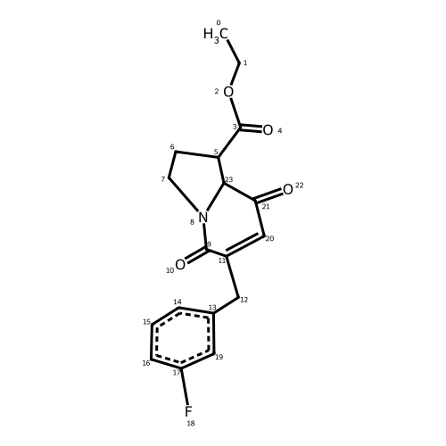 CCOC(=O)C1CCN2C(=O)C(Cc3cccc(F)c3)=CC(=O)C12